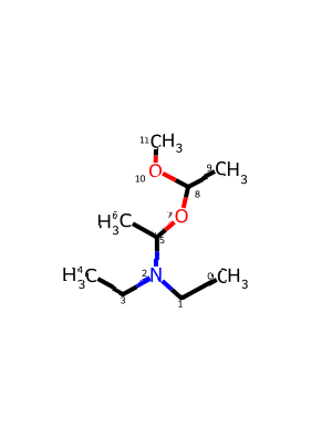 CCN(CC)C(C)OC(C)OC